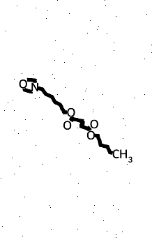 CCCCCOC(=O)C=CC(=O)OCCCCCCN1CCOCC1